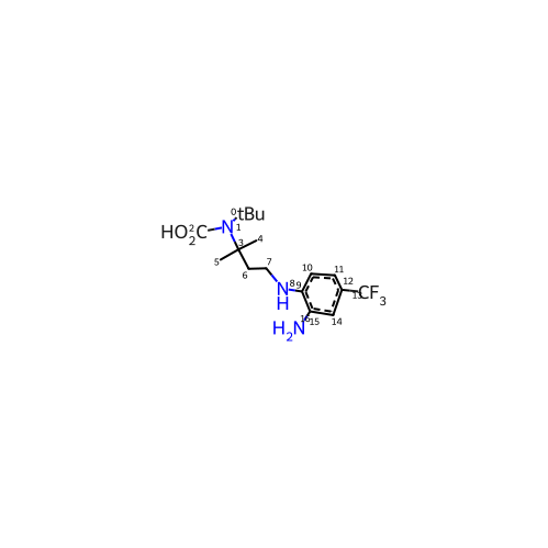 CC(C)(C)N(C(=O)O)C(C)(C)CCNc1ccc(C(F)(F)F)cc1N